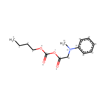 CCCCOC(=O)OC(=O)CN(C)c1ccccc1